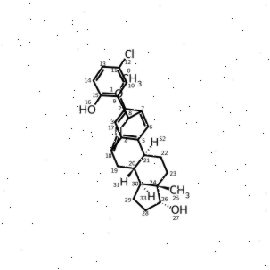 COc1cc2c3cc1C(c1cc(Cl)ccc1O)N=C2C[C@@H]1[C@@H]3CC[C@]2(C)[C@H](O)CC[C@@H]12